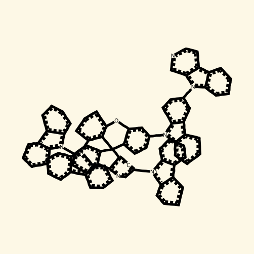 c1cc2c(c(-n3c4ccccc4c4ccccc43)c1)C1(c3ccc(-n4c5ccccc5c5cc(-n6c7ccccc7c7ccncc76)ccc54)cc3O2)c2cc(-n3c4ccccc4c4ccccc43)cnc2-c2ncc(-n3c4ccccc4c4ccccc43)cc21